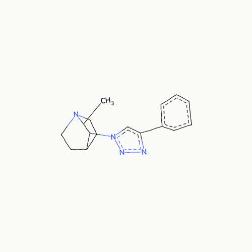 CC1C(n2cc(-c3ccccc3)nn2)C2CCN1CC2